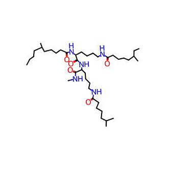 CCCCC(C)CCCCC(=O)NC(CCCCNC(=O)CCCCC(C)CC)C(=O)NC(CCCCNC(=O)CCCCC(C)C)C(=O)NC